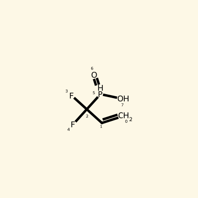 C=CC(F)(F)[PH](=O)O